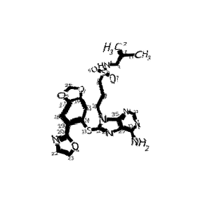 CC(C)CNS(=O)(=O)CCCn1c(Sc2cc3c(cc2-c2ncco2)OCO3)nc2c(N)ncnc21